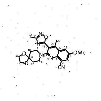 COc1cc(C#N)c2nc(N3CCC4(CC3)OCCO4)c(-c3nc(C)no3)c(C)c2c1